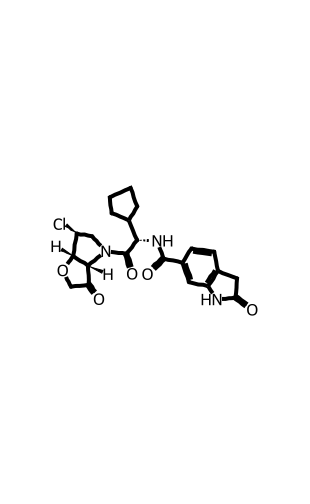 O=C1Cc2ccc(C(=O)N[C@H](C(=O)N3C[C@H](Cl)[C@H]4OCC(=O)[C@H]43)C3CCCC3)cc2N1